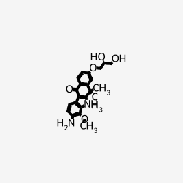 COc1c(N)ccc2c3c([nH]c12)C(C)(C)c1cc(OC[C@H](O)CO)ccc1C3=O